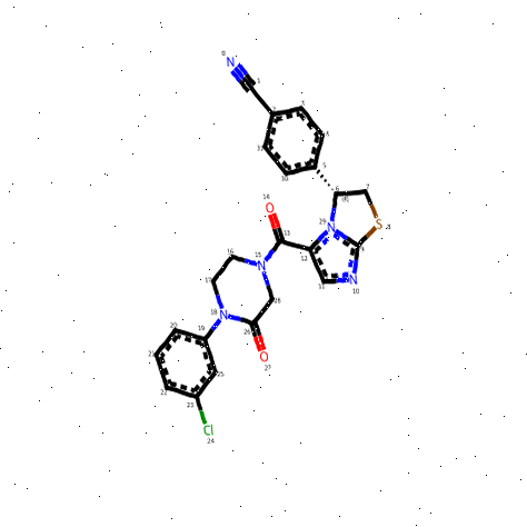 N#Cc1ccc([C@@H]2CSc3ncc(C(=O)N4CCN(c5cccc(Cl)c5)C(=O)C4)n32)cc1